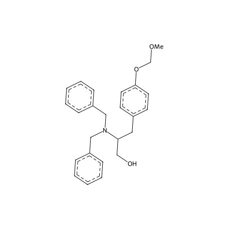 COCOc1ccc(CC(CO)N(Cc2ccccc2)Cc2ccccc2)cc1